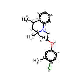 Cc1cc(OCCN2c3ccccc3C(C)CC2(C)C)ccc1Cl